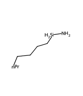 CCCCCCC[SiH2]N